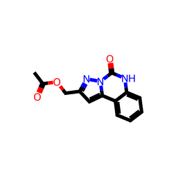 CC(=O)OCc1cc2c3ccccc3[nH]c(=O)n2n1